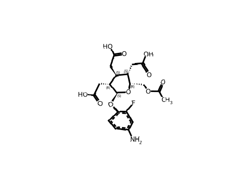 CC(=O)OC[C@@H]1O[C@@H](Oc2ccc(N)cc2F)[C@H](CC(=O)O)[C@@H](CC(=O)O)[C@@H]1CC(=O)O